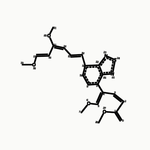 C=C(/C=C\C(=C\OC)c1ccc(/C=C/C=C(\C=C\OC)OC)c2nsnc12)OC